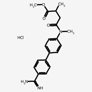 COC(=O)C(C)CC(=O)N(C)c1ccc(-c2ccc(C(=N)N)cc2)cc1.Cl